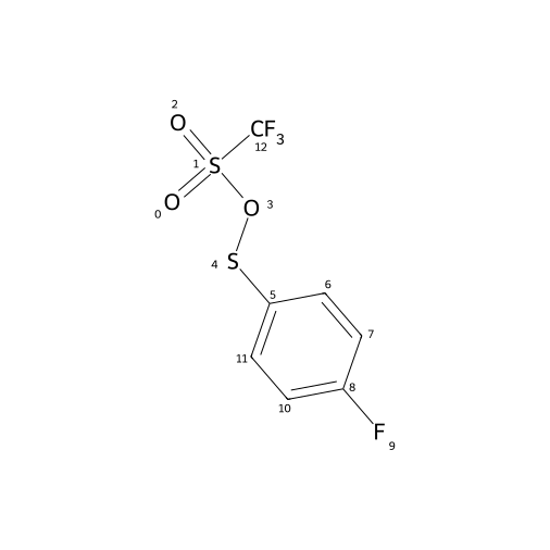 O=S(=O)(OSc1ccc(F)cc1)C(F)(F)F